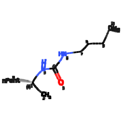 CCCCC[C@@H](C)NC(=O)NCCCOC